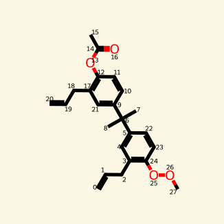 C=CCc1cc(C(C)(C)c2ccc(OC(C)=O)c(CC=C)c2)ccc1OOC